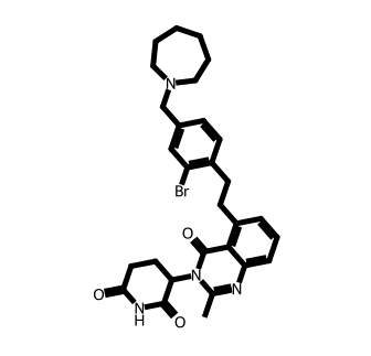 Cc1nc2cccc(CCc3ccc(CN4CCCCCC4)cc3Br)c2c(=O)n1C1CCC(=O)NC1=O